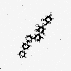 Cc1cnc(-c2ccnc(N3CCC(N4CCOCC4)CC3)n2)cc1-n1c(C)cc(OCc2ncc(F)cc2F)c(Cl)c1=O